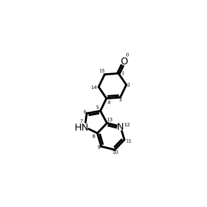 O=C1CC=C(c2c[nH]c3cccnc23)CC1